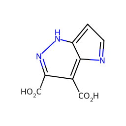 O=C(O)c1n[nH]c2ccnc-2c1C(=O)O